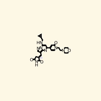 O=C1C/C(=C\c2cnn3c(NCC4CC4)cc(-c4ccn(CCN5CCOCC5)c(=O)c4)nc23)C(=O)N1